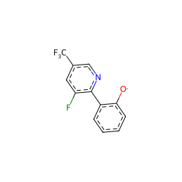 [O]c1ccccc1-c1ncc(C(F)(F)F)cc1F